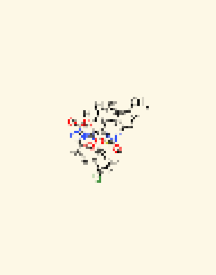 Cc1cccc([C@@H](C)[C@H](NS(=O)(=O)c2ccc(Cl)c3c2OCC=C3)c2n[nH]c(=O)o2)c1C